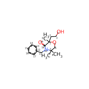 CC1(CCO)OCC(C)(C)N(Cc2ccccc2)C1=O